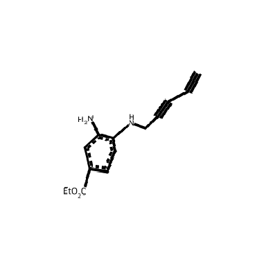 C#CC#CCNc1ccc(C(=O)OCC)cc1N